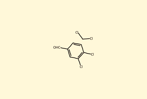 ClCCl.O=Cc1ccc(Cl)c(Cl)c1